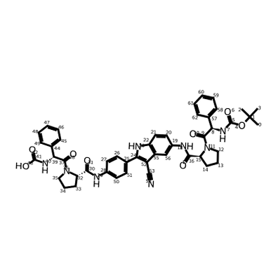 CC(C)(C)OC(=O)N[C@@H](C(=O)N1CCC[C@H]1C(=O)Nc1ccc2[nH]c(-c3ccc(NC(=O)[C@@H]4CCCN4C(=O)[C@H](NC(=O)O)c4ccccc4)cc3)c(C#N)c2c1)c1ccccc1